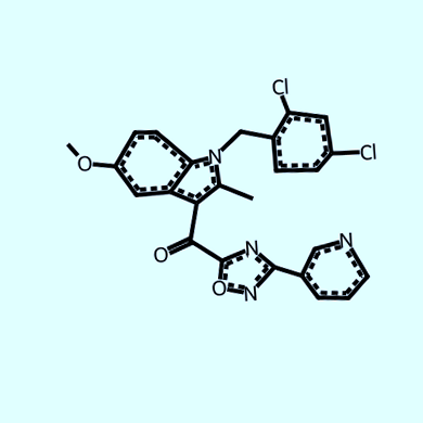 COc1ccc2c(c1)c(C(=O)c1nc(-c3cccnc3)no1)c(C)n2Cc1ccc(Cl)cc1Cl